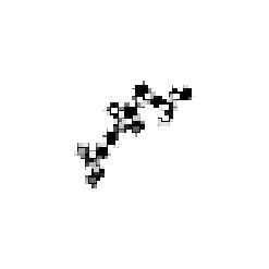 c1ccc(-c2cc(-c3ccc(-c4ccc(-c5c(-c6ccccn6)nc6c7ccccc7ccn56)cc4)cc3)nc(-c3ccccc3-c3cccc(-c4nc(-c5ccc(-c6c(-c7ccccn7)nc7c8ccccc8ccn67)cc5)c5ccccc5n4)c3)n2)cc1